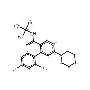 Cc1cc(F)ccc1-c1cc(N2CCSCC2)ncc1C(=O)NC(C)(C)C